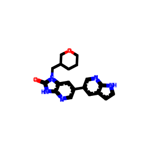 O=c1[nH]c2ncc(-c3cnc4[nH]ccc4c3)cc2n1CC1CCCOC1